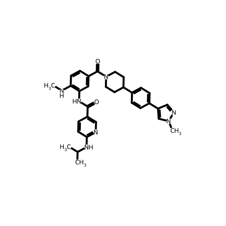 CNc1ccc(C(=O)N2CCC(c3ccc(-c4cnn(C)c4)cc3)CC2)cc1NC(=O)c1ccc(NC(C)C)nc1